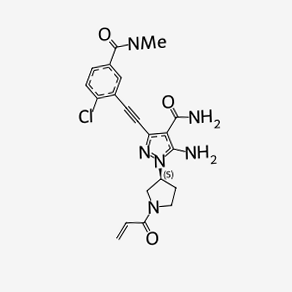 C=CC(=O)N1CC[C@H](n2nc(C#Cc3cc(C(=O)NC)ccc3Cl)c(C(N)=O)c2N)C1